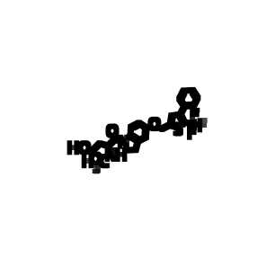 CNC(CC(=O)O)C(=O)N1CCc2cc(OCc3cc(-c4ccccc4)c(C(F)(F)F)s3)ccc21